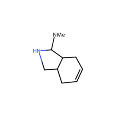 CNC1NCC2CC=CCC21